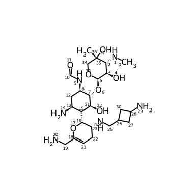 CN[C@@H]1[C@@H](O)[C@@H](O[C@H]2[C@H](NC=O)C[C@H](N)C([C@H]3OC(CN)=CC[C@H]3NCC3CC(N)C3)[C@@H]2O)OC[C@]1(C)O